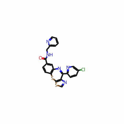 O=C(NCc1ccccn1)c1ccc2c(c1)N=C(c1ccc(Cl)cn1)c1ncsc1S2